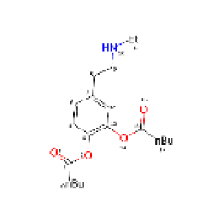 CCCCC(=O)Oc1ccc(CCNCC)cc1OC(=O)CCCC